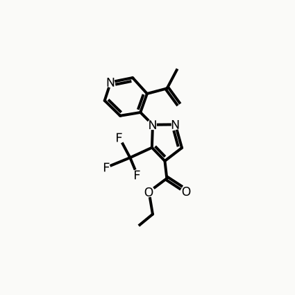 C=C(C)c1cnccc1-n1ncc(C(=O)OCC)c1C(F)(F)F